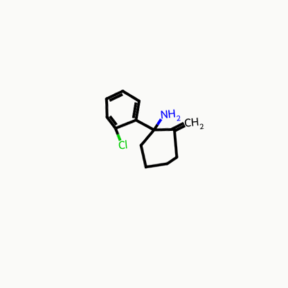 C=C1CCCCC1(N)c1ccccc1Cl